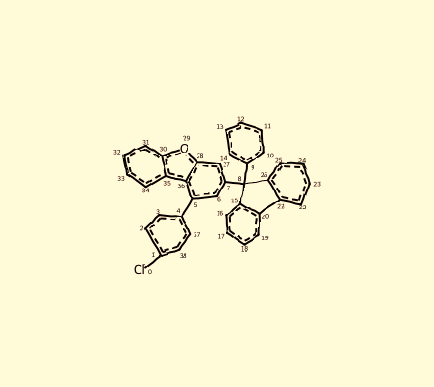 Clc1ccc(-c2cc(C3(c4ccccc4)c4ccccc4-c4ccccc43)cc3oc4ccccc4c23)cc1